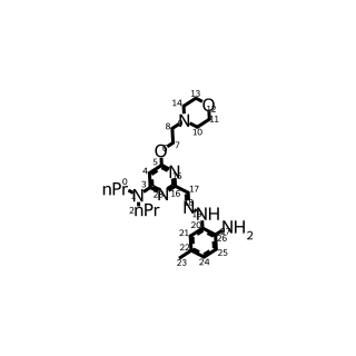 CCCN(CCC)c1cc(OCCN2CCOCC2)nc(/C=N/Nc2cc(C)ccc2N)n1